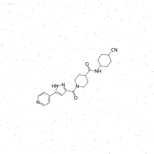 N#CC1CCC(NC(=O)C2CCN(C(=O)c3cc(-c4ccncc4)[nH]n3)CC2)CC1